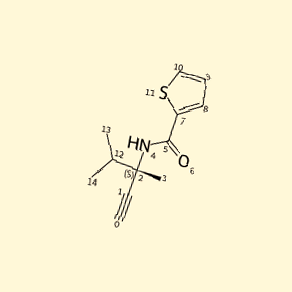 C#C[C@@](C)(NC(=O)c1cccs1)C(C)C